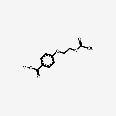 COC(=O)c1ccc(OCCNC(=O)C(C)(C)C)cc1